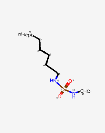 CCCCCCCCCCCCNS(=O)(=O)N[C]=O